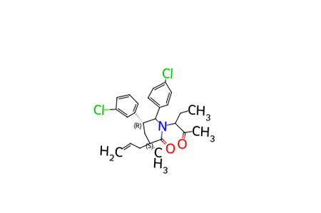 C=CC[C@@]1(C)C[C@H](c2cccc(Cl)c2)C(c2ccc(Cl)cc2)N(C(CC)C(C)=O)C1=O